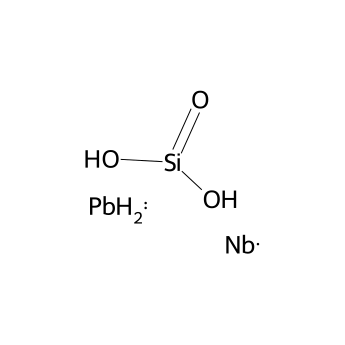 O=[Si](O)O.[Nb].[PbH2]